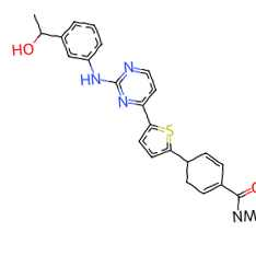 CNC(=O)C1=CCC(c2ccc(-c3ccnc(Nc4cccc(C(C)O)c4)n3)s2)C=C1